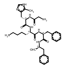 Cc1[nH]cnc1C[C@H](NC(=O)CN)C(=O)N[C@@H](CCCCN)C(=O)N[C@@H](Cc1ccccc1)C(=O)N[C@H]([C]=O)Cc1ccccc1